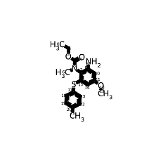 CCOC(=O)N(C)c1c(N)cc(OC)cc1Sc1ccc(C)cc1